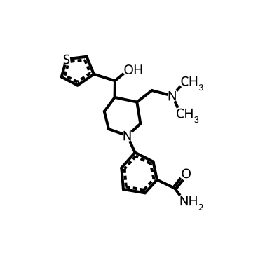 CN(C)CC1CN(c2cccc(C(N)=O)c2)CCC1C(O)c1ccsc1